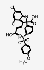 COc1ccc(S(=O)(=O)Nc2cccc(C3(C(=O)O)N=c4cc(Cl)cc(Cl)c4=C3C=CC(=O)O)c2)cc1